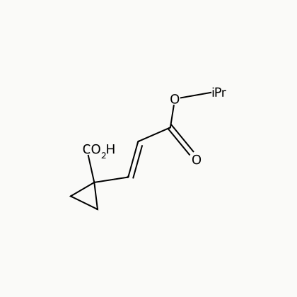 CC(C)OC(=O)/C=C/C1(C(=O)O)CC1